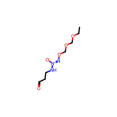 CCOCOCON=[N+]([O-])NCCC=O